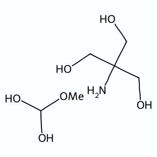 COC(O)O.NC(CO)(CO)CO